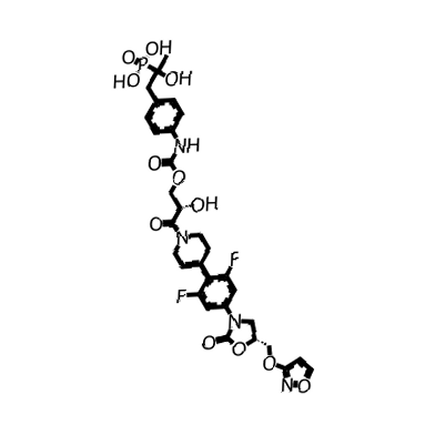 CC(O)(Cc1ccc(NC(=O)OC[C@H](O)C(=O)N2CC=C(c3c(F)cc(N4C[C@H](COc5ccon5)OC4=O)cc3F)CC2)cc1)P(=O)(O)O